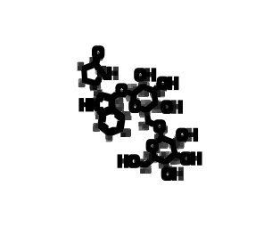 O=C1CC[C@@H](c2[nH]c3ccccc3c2O[C@@H]2O[C@H](CO[C@@H]3O[C@H](CO)[C@@H](O)[C@H](O)[C@H]3O)[C@@H](O)[C@H](O)[C@H]2O)N1